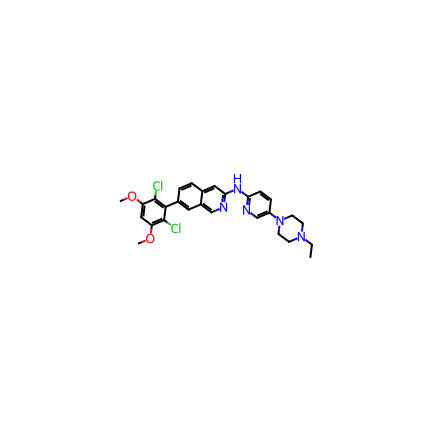 CCN1CCN(c2ccc(Nc3cc4ccc(-c5c(Cl)c(OC)cc(OC)c5Cl)cc4cn3)nc2)CC1